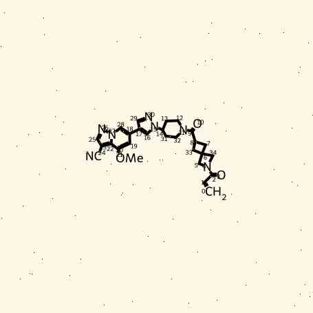 C=CC(=O)N1CC2(CC(C(=O)N3CCC(n4cc(-c5cc(OC)c6c(C#N)cnn6c5)cn4)CC3)C2)C1